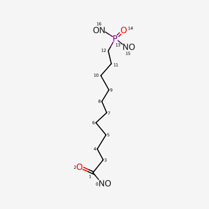 O=NC(=O)CCCCCCCCCCP(=O)(N=O)N=O